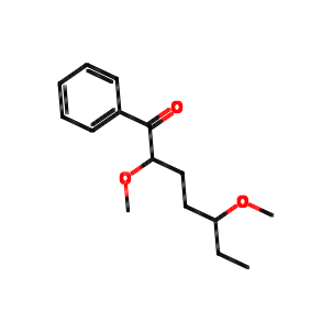 CCC(CCC(OC)C(=O)c1ccccc1)OC